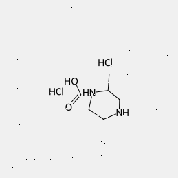 CC1CNCCN1.Cl.Cl.O=CO